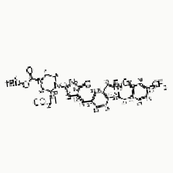 CC(C)(C)OC(=O)N1CCN(C2=NC(=O)C(=Cc3ccc4c(cnn4Cc4ccc(C(F)(F)F)cc4C(F)(F)F)c3)S2)C(C(=O)O)C1